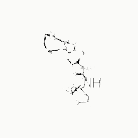 CC1(C)[C@@H]2CC[C@]1(C)[C@H](NC1=NC(=Cc3c[nH]c4ncccc34)C(=O)N1)C2